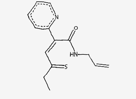 C=CCNC(=O)C(=CC(=S)CC)c1ccccn1